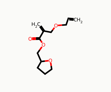 C=CCOCC(=C)C(=O)OCC1CCCO1